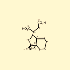 CCC[C@]12CCCC=C1C(C(CC(=O)O)C(=O)O)OC2=O